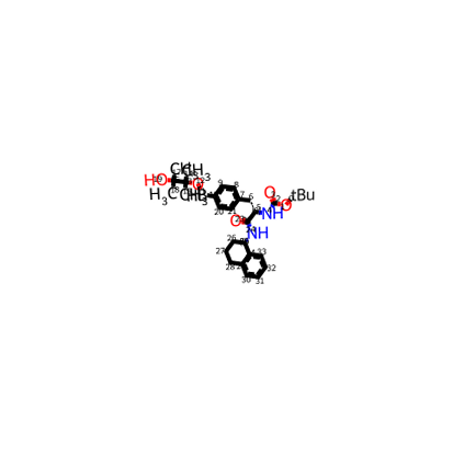 CC(C)(C)OC(=O)N[C@@H](Cc1ccc(BOC(C)(C)C(C)(C)O)cc1)C(=O)N[C@@H]1CCCc2ccccc21